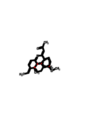 C\C=C(/C=C\C(=N\C(=C/C(C)=O)c1ccc(OC)cc1)C(C)CC)N1CCN(C)CC1